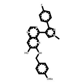 COc1ccc(CNc2nc3c(-c4cn(C)nc4-c4ccc(F)cc4)ncnc3cc2O)cc1